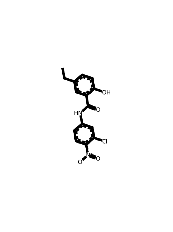 CCc1ccc(O)c(C(=O)Nc2ccc([N+](=O)[O-])c(Cl)c2)c1